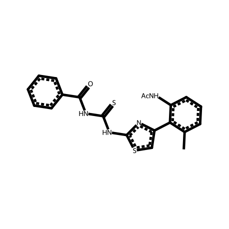 CC(=O)Nc1cccc(C)c1-c1csc(NC(=S)NC(=O)c2ccccc2)n1